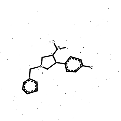 C[C@H](O)C1CN(Cc2ccccc2)CC1c1ccc(Cl)cc1